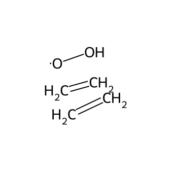 C=C.C=C.[O]O